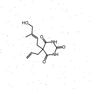 C=CCC1(C/C=C(\C)CO)C(=O)NC(=O)NC1=O